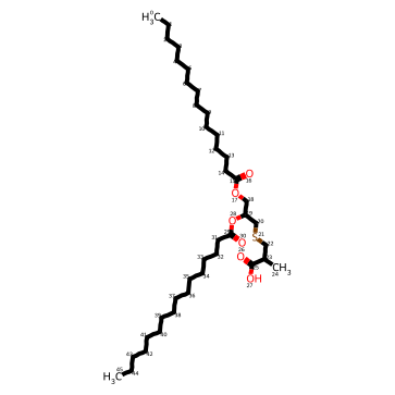 CCCCCCCCCCCCCCCC(=O)OCC(CSCC(C)C(=O)O)OC(=O)CCCCCCCCCCCCCCC